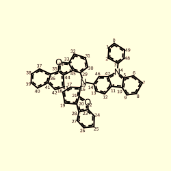 c1ccc(-n2c3ccccc3c3ccc(N(c4cccc5c4oc4ccccc45)c4cccc5oc6c7ccccc7ccc6c45)cc32)cc1